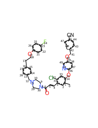 Cc1cc(C=CC(=O)N2CCN(Cc3ccc(CCOc4ccc(F)cc4)cc3)CC2)c(Cl)cc1Oc1ccc(OCc2ccc(C#N)cc2)cn1